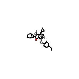 CCc1ccc(Oc2ncnc(O[C@H]3CC4CCC3N4C(=O)NC(=N)C3CC3)c2C)c(F)c1